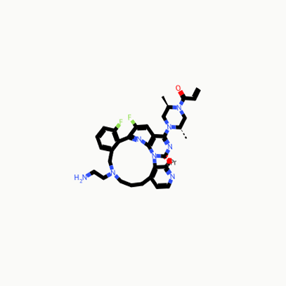 C=CC(=O)N1C[C@H](C)N(c2nc(=O)n3c4nc(c(F)cc24)-c2c(F)cccc2CN(CCN)CCCc2ccnc(C(C)C)c2-3)C[C@H]1C